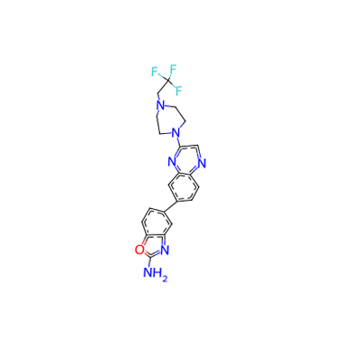 Nc1nc2cc(-c3ccc4ncc(N5CCN(CC(F)(F)F)CC5)nc4c3)ccc2o1